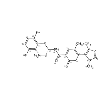 CC1=C(c2c(C)cnn2C)CC(=S)C(C(=O)N[C@H](CN)Cc2cc(F)ccc2F)=C1